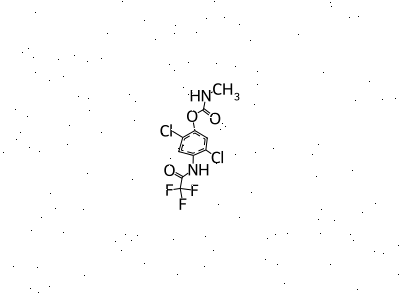 CNC(=O)Oc1cc(Cl)c(NC(=O)C(F)(F)F)cc1Cl